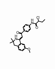 CCC(Cl)C(=O)Nc1ccc(C(=O)C=C2NC(C)(C)Cc3ccc(OC)cc32)cc1